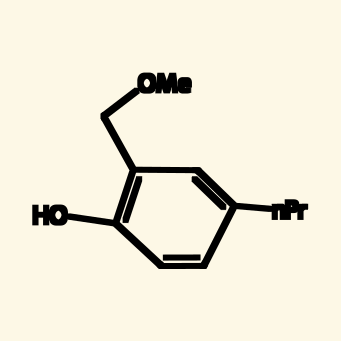 CCCc1ccc(O)c(COC)c1